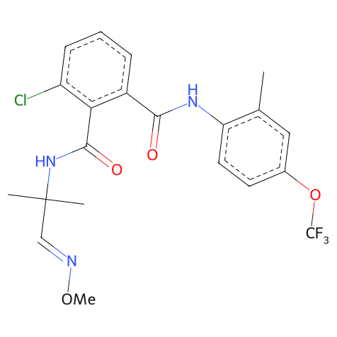 CON=CC(C)(C)NC(=O)c1c(Cl)cccc1C(=O)Nc1ccc(OC(F)(F)F)cc1C